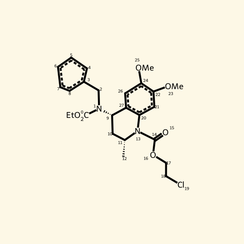 CCOC(=O)N(Cc1ccccc1)[C@H]1C[C@@H](C)N(C(=O)OCCCl)c2cc(OC)c(OC)cc21